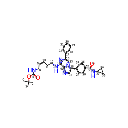 CC(C)(C)OC(=O)NC/C=C\CCNc1nc(-c2ccccc2)cn2c(-c3ccc(C(=O)NC4CC4)cc3)cnc12